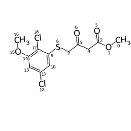 COC(=O)CC(=O)CSc1cc(Cl)cc(OC)c1Cl